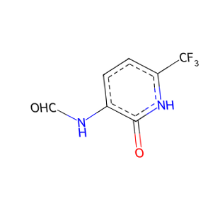 O=CNc1ccc(C(F)(F)F)[nH]c1=O